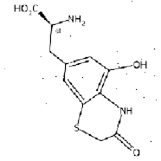 N[C@@H](Cc1cc(O)c2c(c1)SCC(=O)N2)C(=O)O